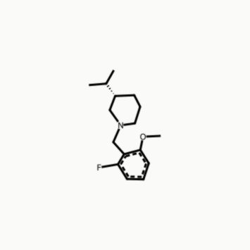 COc1cccc(F)c1CN1CCC[C@@H](C(C)C)C1